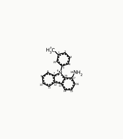 Cc1cccc(-n2c3ccccc3c3cccc(N)c32)c1